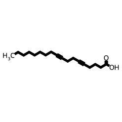 CCCCCCCCC#CCCC#CCCCC(=O)O